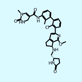 COc1nc(-c2cccc(-c3cccc(NC(=O)C4=CN(C)C(=O)NC4)c3C)c2Cl)cc2c1[C@@H](NC[C@@H]1CCC(=O)N1)CC2